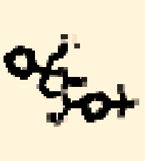 C=CC[C@]1(c2ccccc2)CCN([C@@H](C)c2ccc(C(F)(F)F)cc2)C(=O)O1